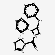 O=C(N1CC(Oc2ccccc2)C1)N1N=CC[C@@H]1c1ccccc1